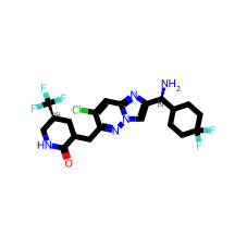 N[C@H](c1cn2nc(CC3C[C@H](C(F)(F)F)CNC3=O)c(Cl)cc2n1)C1CCC(F)(F)CC1